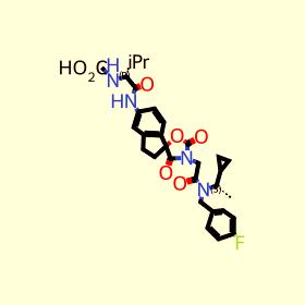 CC(C)[C@@H](NC(=O)O)C(=O)Nc1ccc2c(c1)CCC21OC(=O)N(CC(=O)N(Cc2ccc(F)cc2)[C@@H](C)C2CC2)C1=O